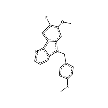 COc1cc2c(cc1F)c1ncccc1n2Cc1ccc(SC)cc1